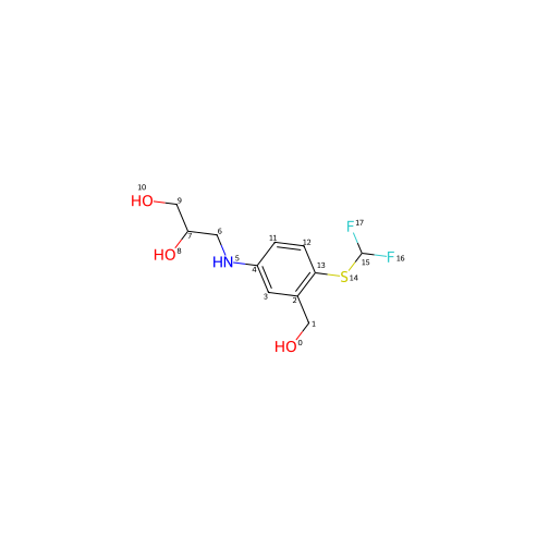 OCc1cc(NCC(O)CO)ccc1SC(F)F